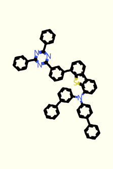 c1ccc(-c2ccc(N(c3cccc(-c4ccccc4)c3)c3cccc4c3sc3c(-c5cccc(-c6nc(-c7ccccc7)nc(-c7ccccc7)n6)c5)cccc34)cc2)cc1